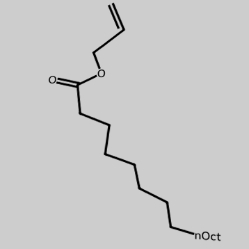 C=CCOC(=O)CCCCCCCCCCCCCCC